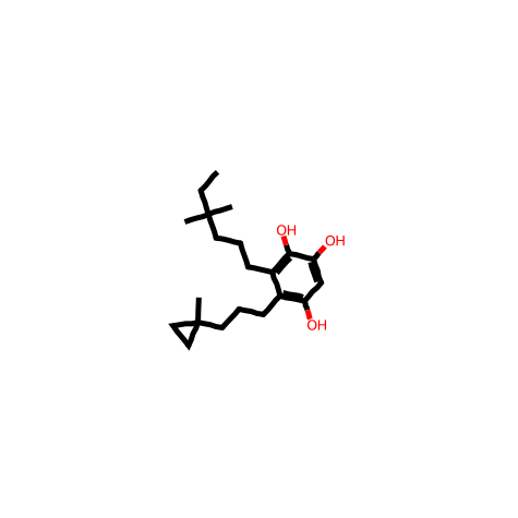 CCC(C)(C)CCCc1c(O)c(O)cc(O)c1CCCC1(C)CC1